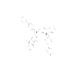 CC1(C)CCC(C)(C)c2cc(-c3ccc(-n4c5ccccc5c5ccc(N(c6ccc(-c7ccccc7)cc6)c6ccc7c(c6)oc6ccccc67)cc54)cc3)ccc21